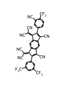 N#CC(C#N)=C1C(c2cc(C(F)(F)F)cc(C(F)(F)F)c2)=C(C#N)c2cc3c(cc21)C(=C(C#N)C#N)C(c1ccc(C(F)(F)F)c(C#N)c1)=C3C#N